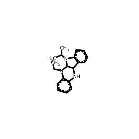 CCN1c2ccccc2NC2c3ccccc3N(C(C)C)C21